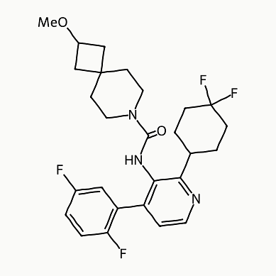 COC1CC2(CCN(C(=O)Nc3c(-c4cc(F)ccc4F)ccnc3C3CCC(F)(F)CC3)CC2)C1